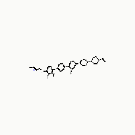 C=CC1CCC(C2CC=C(c3ccc(-c4ccc(-c5ccc(OC/C=C/C)c(F)c5F)cc4)c(F)c3)CC2)CC1